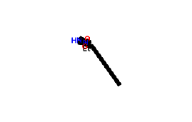 C#CC#CC#CC#CC#CC#CC#CC#CC#CC#CC#CCC(CC)C1=C(C)C(=O)N(C2CC(C)(C)NC(C)(C)C2)C1=O